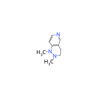 CN1CCc2cnccc2N1C